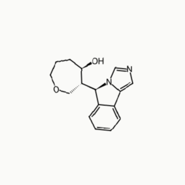 O[C@@H]1CCCOC[C@H]1[C@@H]1c2ccccc2-c2cncn21